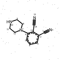 N#Cc1cccc(N2CCNCC2)c1C#N